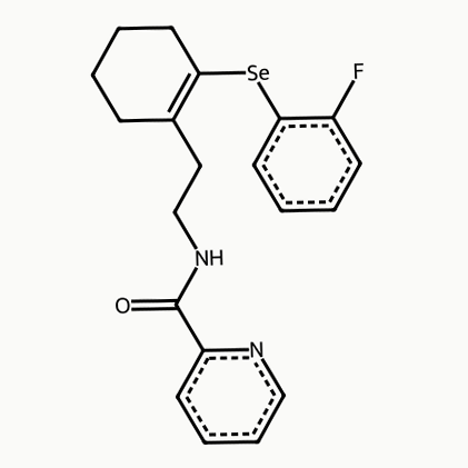 O=C(NCCC1=C([Se]c2ccccc2F)CCCC1)c1ccccn1